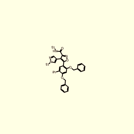 CCNC(=O)c1noc(-c2cc(C(C)C)c(OCc3ccccc3)cc2OCc2ccccc2)c1-c1cnn(CC)c1